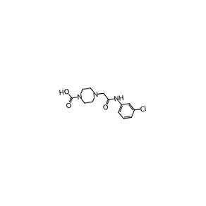 O=C(CN1CCN(C(=O)O)CC1)Nc1cccc(Cl)c1